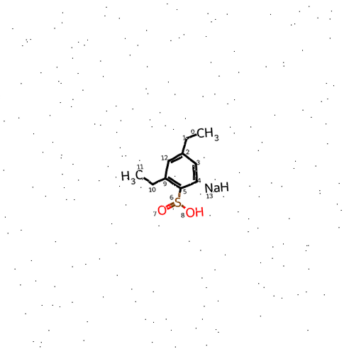 CCc1ccc(S(=O)O)c(CC)c1.[NaH]